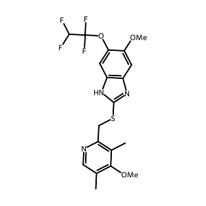 COc1cc2nc(SCc3ncc(C)c(OC)c3C)[nH]c2cc1OC(F)(F)C(F)F